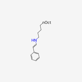 CCCCCCCCCCCCNC=Cc1ccccc1